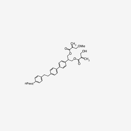 C=C(CO)C(=O)OCC(COC(=O)C(=C)COC)c1ccc(-c2ccc(CCc3ccc(CCCCC)cc3)cc2)cc1